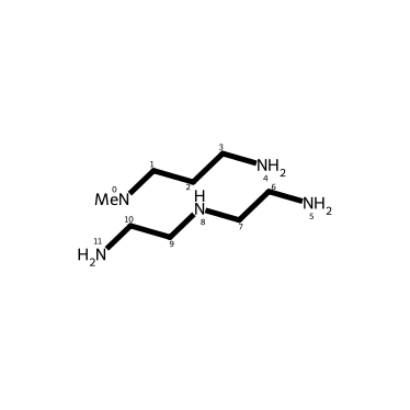 CNCCCN.NCCNCCN